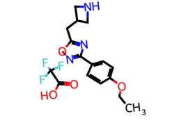 CCOc1ccc(-c2noc(CC3CNC3)n2)cc1.O=C(O)C(F)(F)F